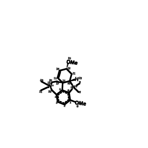 COc1ccc2c3c1[N+](C)(C)[C@H]1C[C@@H](OC)C=C[C@@]31CC[N+](C)(C)C2